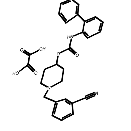 N#Cc1cccc(CN2CCC(OC(=O)Nc3ccccc3-c3ccccc3)CC2)c1.O=C(O)C(=O)O